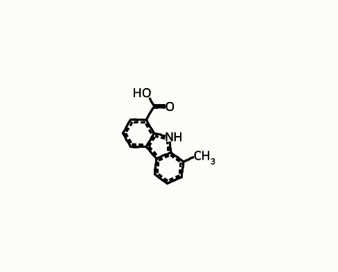 Cc1cccc2c1[nH]c1c(C(=O)O)cccc12